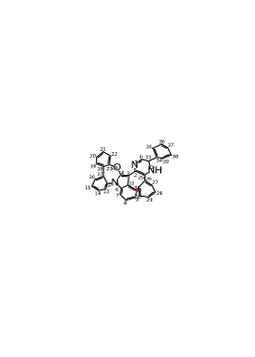 C1=NC(c2c3n(c4ccccc24)-c2ccccc2-c2ccccc2O3)=C(c2ccccc2)NC1c1ccccc1